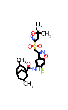 CC1CC2CC(C)CC(C(=O)Nc3cc4c(CS(=O)(=O)C5=NOC(C)(C)C5)noc4cc3F)(C1)C2